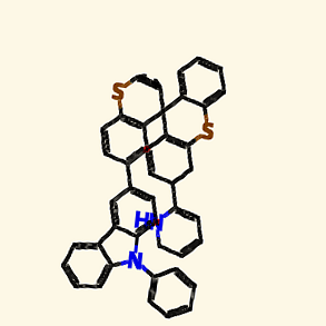 C1=CCNC(C2C=CC3=C(C2)Sc2ccccc2C32c3ccccc3Sc3ccc(-c4ccc5c(c4)c4ccccc4n5-c4ccccc4)cc32)=C1